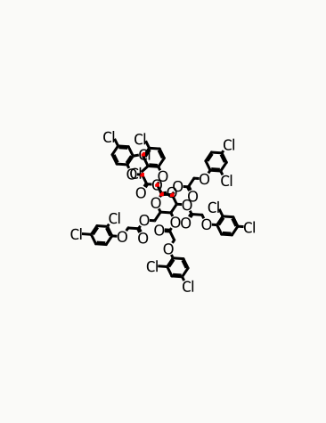 O=C(COc1ccc(Cl)cc1Cl)OCC(OC(=O)COc1ccc(Cl)cc1Cl)C(OC(=O)COc1ccc(Cl)cc1Cl)C(OC(=O)COc1ccc(Cl)cc1Cl)C(COC(=O)COc1ccc(Cl)cc1Cl)OC(=O)COc1ccc(Cl)cc1Cl